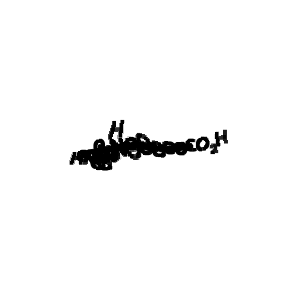 O=C(O)CCOCCOCCOCCOCCOCCNc1ccc2c(c1)C(=O)N(C1CCC(=O)NC1=O)C2=O